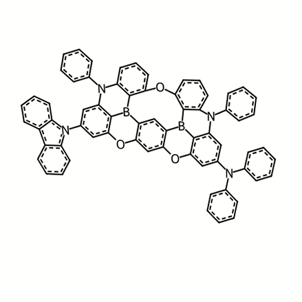 c1ccc(N(c2ccccc2)c2cc3c4c(c2)N(c2ccccc2)c2cccc5c2B4c2cc4c(cc2O3)Oc2cc(-n3c6ccccc6c6ccccc63)cc3c2B4c2c(cccc2N3c2ccccc2)O5)cc1